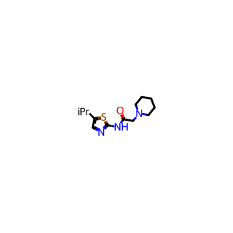 CC(C)c1cnc(NC(=O)CN2CCCCC2)s1